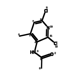 CC(=O)Nc1c(C)cc(Cl)nc1Cl